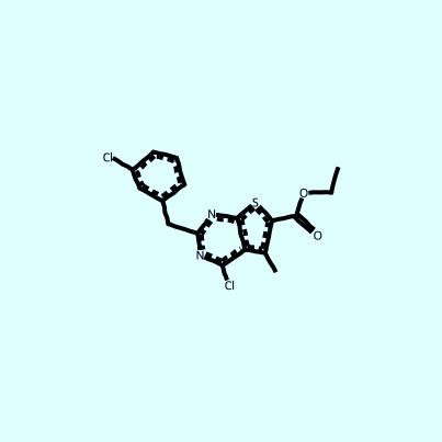 CCOC(=O)c1sc2nc(Cc3cccc(Cl)c3)nc(Cl)c2c1C